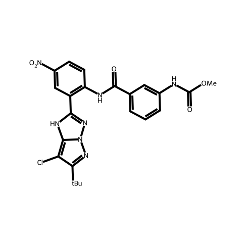 COC(=O)Nc1cccc(C(=O)Nc2ccc([N+](=O)[O-])cc2-c2nn3nc(C(C)(C)C)c(Cl)c3[nH]2)c1